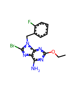 CCOc1nc(N)c2nc(Br)n(Cc3ccccc3F)c2n1